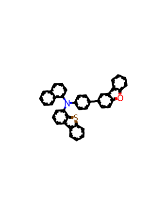 c1ccc2c(N(c3ccc(-c4ccc5oc6ccccc6c5c4)cc3)c3cccc4c3sc3ccccc34)cccc2c1